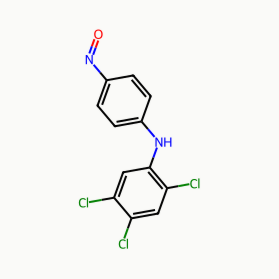 O=Nc1ccc(Nc2cc(Cl)c(Cl)cc2Cl)cc1